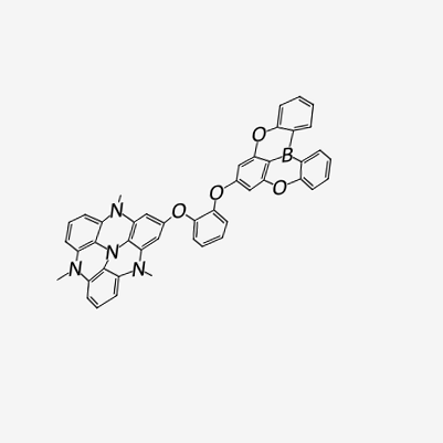 CN1c2cccc3c2N2c4c1cccc4N(C)c1cc(Oc4ccccc4Oc4cc5c6c(c4)Oc4ccccc4B6c4ccccc4O5)cc(c12)N3C